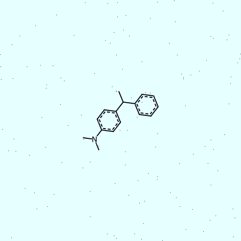 [CH2]C(c1ccccc1)c1ccc(N(C)C)cc1